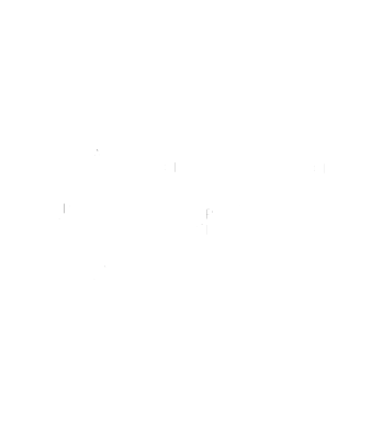 FC(F)(F)c1ccc(P)cc1.FC(F)(F)c1ccc(P)cc1.FC(F)(F)c1ccc(P)cc1.[Au+]